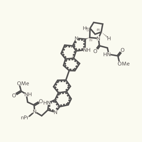 CCCN(Cc1nc2ccc3cc(-c4ccc5c(ccc6nc([C@@H]7[C@H]8CC[C@H](C8)N7C(=O)CNC(=O)OC)[nH]c65)c4)ccc3c2[nH]1)C(=O)CNC(=O)OC